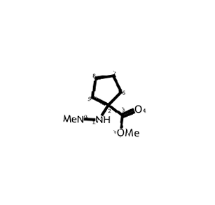 CNNC1(C(=O)OC)CCCC1